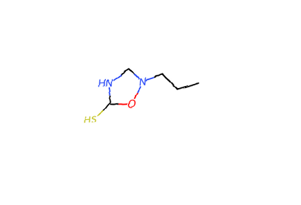 CCCN1CNC(S)O1